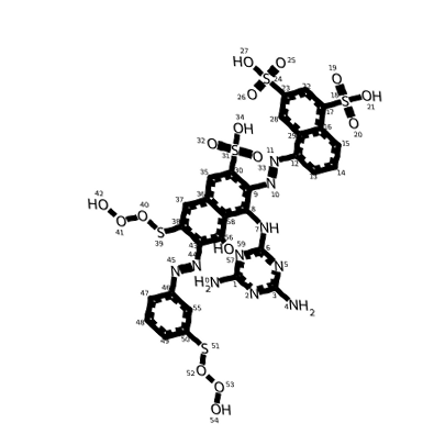 Nc1nc(N)nc(Nc2c(/N=N/c3cccc4c(S(=O)(=O)O)cc(S(=O)(=O)O)cc34)c(S(=O)(=O)O)cc3cc(SOOO)c(/N=N/c4cccc(SOOO)c4)c(O)c23)n1